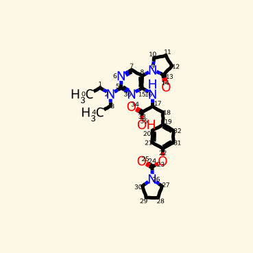 CCN(CC)c1ncc(N2CCCC2=O)c(NC(Cc2ccc(OC(=O)N3CCCC3)cc2)C(=O)O)n1